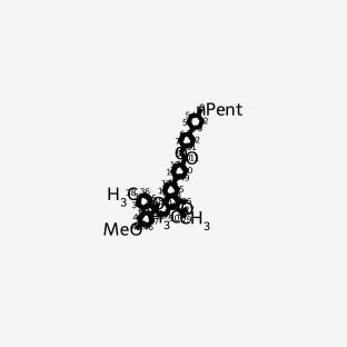 CCCCCC1CCC(c2ccc(OC(=O)c3ccc(-c4ccc5c6c(c7c(c5c4)COC7(C)C)C=CC(c4ccc(C)cc4)(c4ccc(OC)cc4)O6)cc3)cc2)CC1